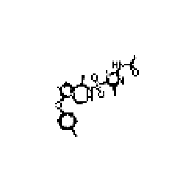 CCn1c(C(C)NS(=O)(=O)c2sc(NC(C)=O)nc2C)cnc1Oc1ccc(C)cc1